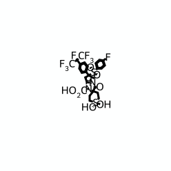 O=C(O)NC1(C(=O)N2CCC(c3ccc(C(F)(C(F)(F)F)C(F)(F)F)cc3)(S(=O)(=O)c3ccc(F)cc3)C2)CCS(O)(O)CC1